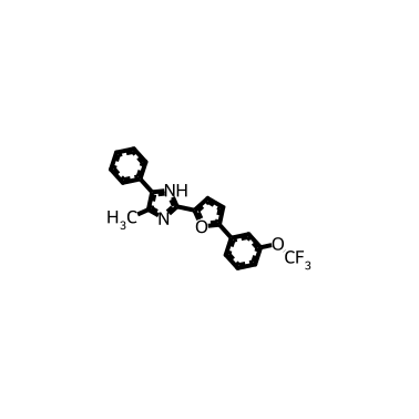 Cc1nc(-c2ccc(-c3cccc(OC(F)(F)F)c3)o2)[nH]c1-c1ccccc1